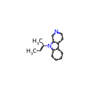 CC=C(C)n1c2ccccc2c2ccncc21